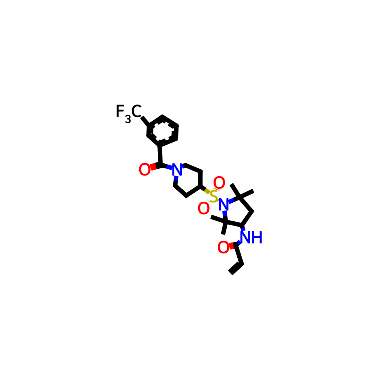 C=CC(=O)NC1CC(C)(C)N(S(=O)(=O)C2CCN(C(=O)c3cccc(C(F)(F)F)c3)CC2)C1(C)C